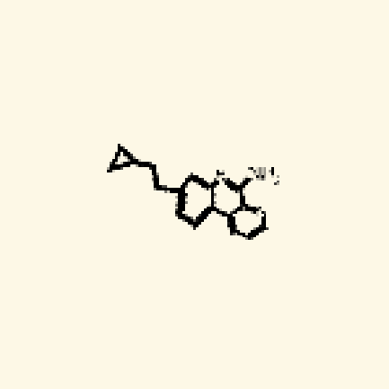 Nc1nc2cc(CCC3CC3)ccc2c2cccnc12